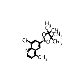 Cc1ccnc2c(Cl)cc(B3OC(C)(C)C(C)(C)O3)cc12